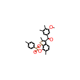 COc1cc(C(=O)c2c(C)sc3c(OS(=O)(=O)c4ccc(C)cc4)c(C)ccc23)cc(C)c1C